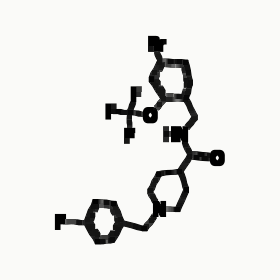 O=C(NCc1ccc(Br)cc1OC(F)(F)F)C1CCN(Cc2ccc(F)cc2)CC1